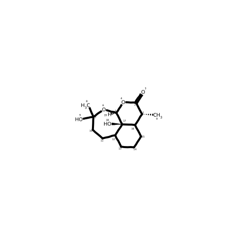 C[C@H]1C(=O)O[C@@H]2OC(C)(O)CCC3CCCC1[C@]32O